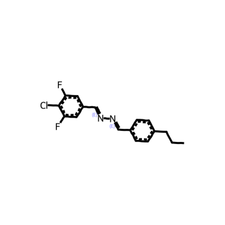 CCCc1ccc(/C=N/N=C/c2cc(F)c(Cl)c(F)c2)cc1